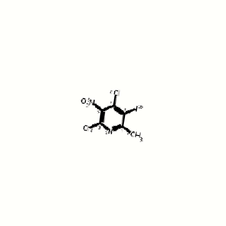 Cc1nc(Cl)c([N+](=O)[O-])c(Cl)c1I